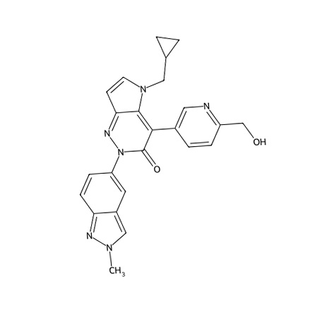 Cn1cc2cc(-n3nc4ccn(CC5CC5)c4c(-c4ccc(CO)nc4)c3=O)ccc2n1